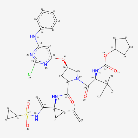 C=C[C@@H]1C[C@]1(NC(=O)[C@@H]1C[C@@H](Oc2cc(Nc3ccccc3)nc(Cl)n2)CN1C(=O)[C@@H](NC(=O)OC1CCCC1)C(C)(C)C)C(=C)NS(=O)(=O)C1CC1